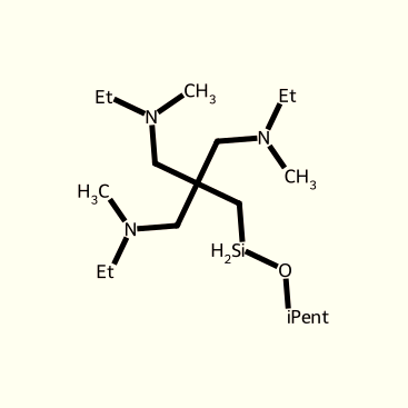 CCCC(C)O[SiH2]CC(CN(C)CC)(CN(C)CC)CN(C)CC